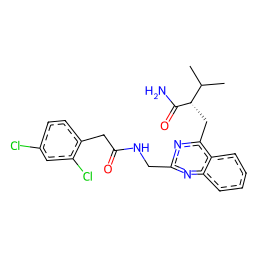 CC(C)[C@H](Cc1nc(CNC(=O)Cc2ccc(Cl)cc2Cl)nc2ccccc12)C(N)=O